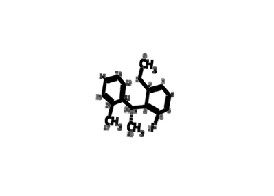 CCc1cccc(F)c1[C@H](C)c1ccccc1C